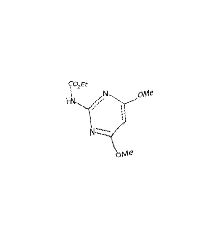 CCOC(=O)Nc1nc(OC)cc(OC)n1